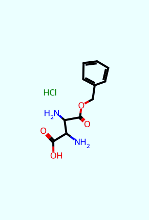 Cl.NC(C(=O)O)C(N)C(=O)OCc1ccccc1